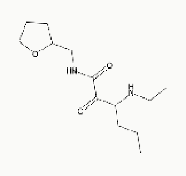 CCCC(NCC)C(=O)C(=O)NCC1CCCO1